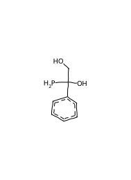 OCC(O)(P)c1ccccc1